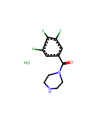 Cl.O=C(c1cc(F)c(F)c(F)c1)N1CCNCC1